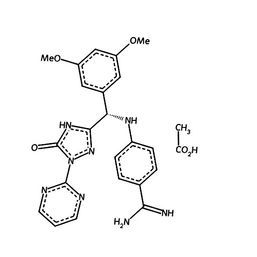 CC(=O)O.COc1cc(OC)cc([C@H](Nc2ccc(C(=N)N)cc2)c2nn(-c3ncccn3)c(=O)[nH]2)c1